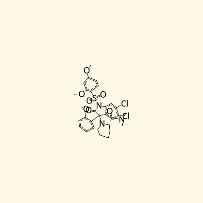 COc1ccc(S(=O)(=O)N2C(=O)C(c3ccccc3OC)(N3CCCC[C@H]3C(=O)N(C)C)c3cc(Cl)c(Cl)cc32)c(OC)c1